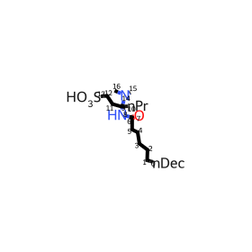 CCCCCCCCCCCCCCCC(=O)NC(CCC)(CCS(=O)(=O)O)N(C)C